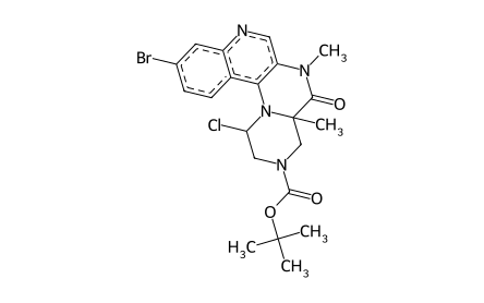 CN1C(=O)C2(C)CN(C(=O)OC(C)(C)C)CC(Cl)N2c2c1cnc1cc(Br)ccc21